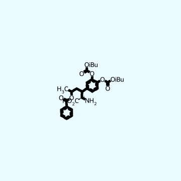 CC(C)COC(=O)Oc1ccc(C(CC(C)OC(=O)c2ccccc2)[C@H](N)C(=O)O)cc1OC(=O)OCC(C)C